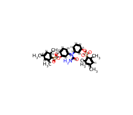 Cc1cc(C)c(S(=O)(=O)Oc2cccc(N(C(N)=O)c3cccc(OS(=O)(=O)c4c(C)cc(C)cc4C)c3)c2)c(C)c1